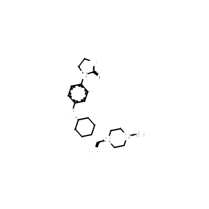 CC(C)N1CCN(C(=O)[C@H]2CC[C@H](Oc3ccc(N4CCOC4=O)cc3)CC2)CC1